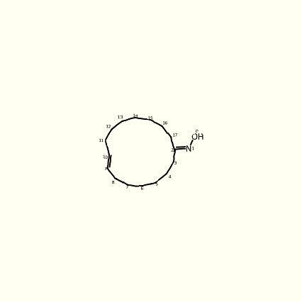 O/N=C1/CCCCCC/C=C/CCCCCCC1